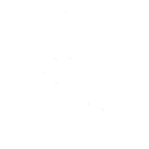 Nc1ncc(Cl)n2c(C3=C4CC(CO)(C4)OC3)nc(-c3ccc(C(=O)Nc4cc(C(F)(F)F)ccn4)cc3)c12